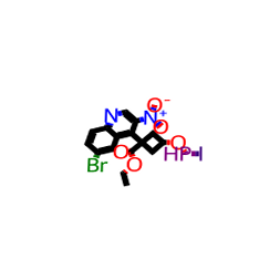 CCOC(=O)C1(c2c([N+](=O)[O-])cnc3ccc(Br)cc23)CC(OPI)C1